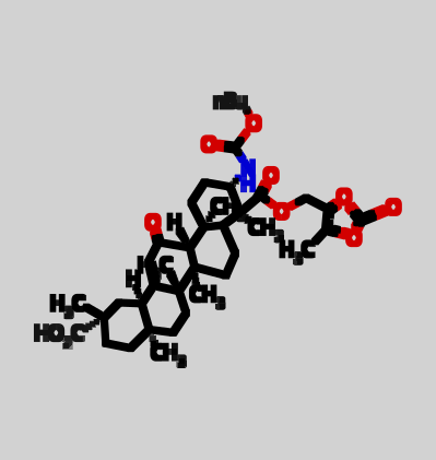 CCCCOC(=O)N[C@H]1CC[C@@]2(C)C(CC[C@]3(C)[C@@H]2C(=O)C=C2[C@@H]4C[C@@](C)(C(=O)O)CC[C@]4(C)CC[C@]23C)[C@]1(C)C(=O)OCc1oc(=O)oc1C